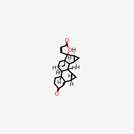 CC[C@]12CC[C@H]3[C@@H]([C@@H]4C[C@@H]4C4=CC(=O)CC[C@@H]43)[C@@H]1[C@@H]1C[C@@H]1[C@@]21C=CC(=O)O1